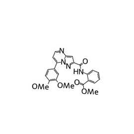 COC(=O)c1ccccc1NC(=O)c1cc2nccc(-c3ccc(OC)c(OC)c3)n2n1